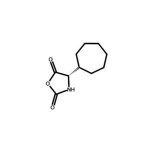 O=C1N[C@@H](C2CCCCCC2)C(=O)O1